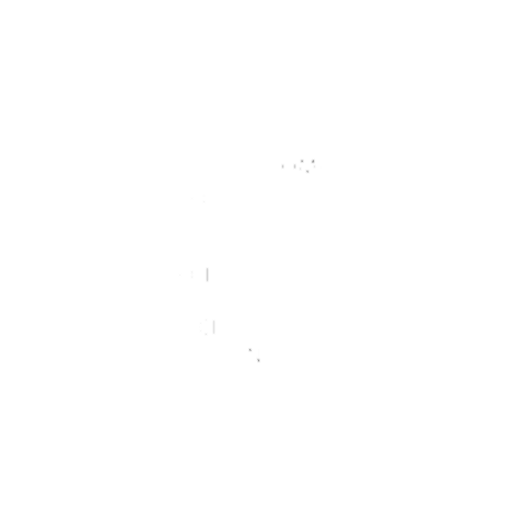 CO.COC(=O)c1cccnc1